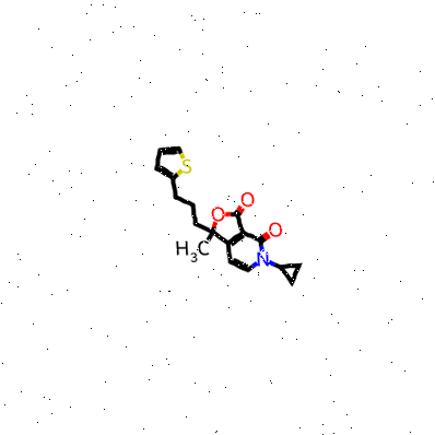 CC1(CCCc2cccs2)OC(=O)c2c1ccn(C1CC1)c2=O